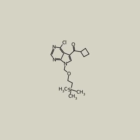 C[Si](C)(C)CCOCn1cc(C(=O)C2CCC2)c2c(Cl)ncnc21